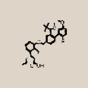 CCC[C@@H](CC(=O)O)c1cccc(OCc2ccc(-c3cc(OC)ccc3F)c([C@H](OC)C(C)(C)C)c2)c1F